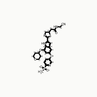 CS(=O)(=O)c1ccc(Oc2cc(OC3CCOCC3)c3[nH]c(C4=NCC(CC(=O)NCC#N)S4)cc3c2)cn1